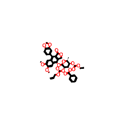 C=CCOC(=O)O[C@H]1C(Oc2c3c(c(-c4ccc5c(c4)OCO5)c4cc(OC)c(OC)cc24)C(=O)OC3)O[C@H](C)[C@@H](OC(=O)OCC)[C@@H]1OC(=O)c1ccccc1